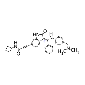 CN(C)Cc1ccc(N/C(=C2\C(=O)Nc3cc(C#CC(=O)NC4CCC4)ccc32)c2ccccc2)cc1